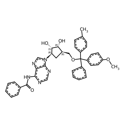 COc1ccc(C(OC[C@H]2C[C@@H](n3cnc4c(NC(=O)c5ccccc5)ncnc43)[C@H](O)[C@@H]2O)(c2ccccc2)c2ccc(C)cc2)cc1